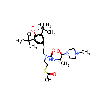 CC(=O)SCCN(CCc1cc(C(C)(C)C)c(O)c(C(C)(C)C)c1)C(=O)N[C@@H](C)C(=O)N1CCN(C)CC1